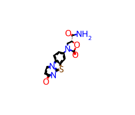 NC(=O)[C@H]1CN(c2ccc3c(c2)sc2nc(=O)ccn23)C(=O)O1